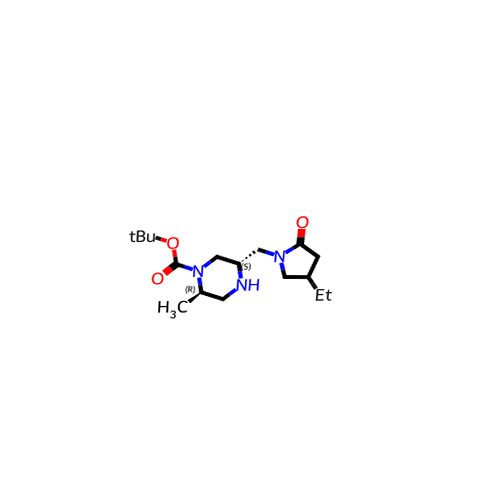 CCC1CC(=O)N(C[C@H]2CN(C(=O)OC(C)(C)C)[C@H](C)CN2)C1